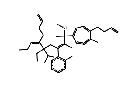 C=CCCC1=CC=C(C(C)(NC)/C(C)=C(\CC(CC)(/C(=C\CC)CCC=C)C(C)C)c2ccccc2C)C=C=C1C